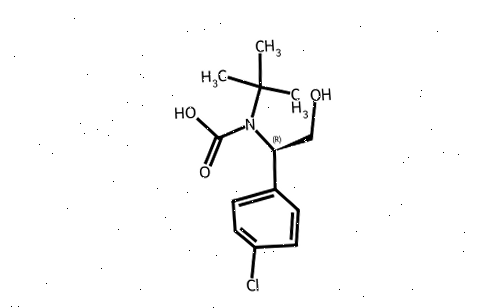 CC(C)(C)N(C(=O)O)[C@@H](CO)c1ccc(Cl)cc1